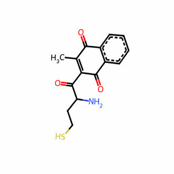 CC1=C(C(=O)C(N)CCS)C(=O)c2ccccc2C1=O